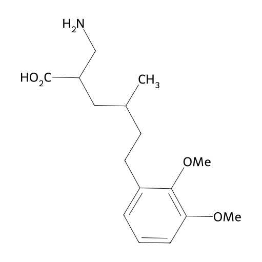 COc1cccc(CCC(C)CC(CN)C(=O)O)c1OC